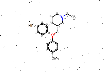 Br.COc1ccc(OC[C@H]2CN(CC(F)(F)F)CC[C@H]2c2ccccc2)cc1